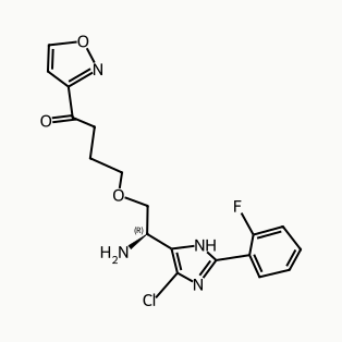 N[C@@H](COCCCC(=O)c1ccon1)c1[nH]c(-c2ccccc2F)nc1Cl